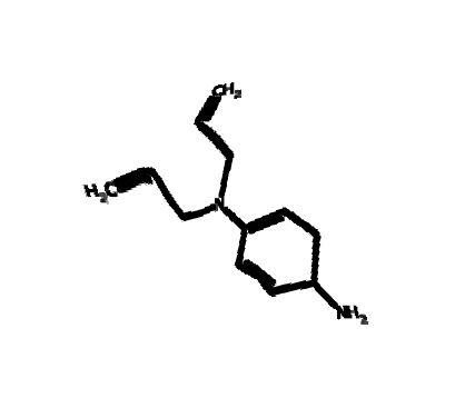 C=CCN(CC=C)C1=CCC(N)C=C1